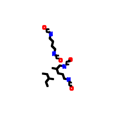 CC(CCCN=C=O)CN=C=O.CC[C](C)CC.O=C=NCCCCN=C=O